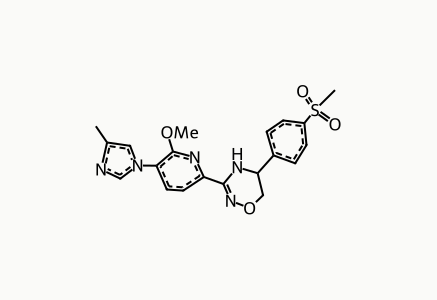 COc1nc(C2=NOCC(c3ccc(S(C)(=O)=O)cc3)N2)ccc1-n1cnc(C)c1